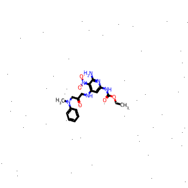 CCOC(=O)Nc1cc(NCC(=O)CN(C)c2ccccc2)c([N+](=O)[O-])c(N)n1